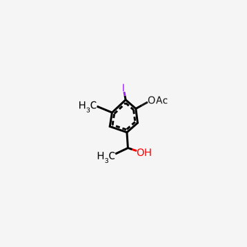 CC(=O)Oc1cc(C(C)O)cc(C)c1I